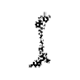 N#Cc1cnc2c(cnn2-c2cc(NC3CC3)c(C(=O)NCC(F)COCCOCCOCCNc3cccc4c3C(=O)N(C3CCC(=O)NC3=O)C4=O)cn2)c1